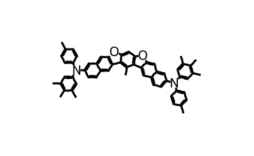 Cc1ccc(N(c2cc(C)c(C)c(C)c2)c2ccc3cc4c(cc3c2)oc2cc3oc5cc6cc(N(c7ccc(C)cc7)c7cc(C)c(C)c(C)c7)ccc6cc5c3c(C)c24)cc1